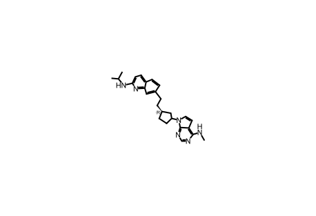 CNc1ncnc2c1ccn2C1CC[C@@H](CCc2ccc3ccc(NC(C)C)nc3c2)C1